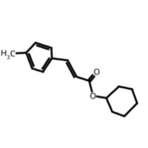 Cc1ccc(C=CC(=O)OC2CCCCC2)cc1